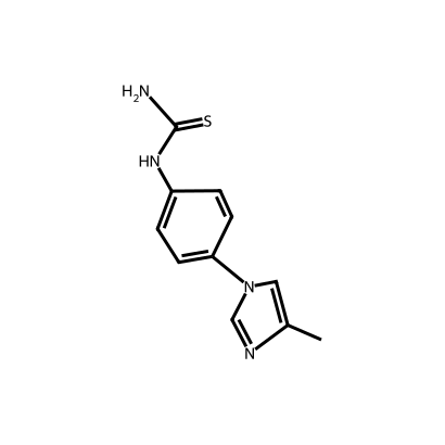 Cc1cn(-c2ccc(NC(N)=S)cc2)cn1